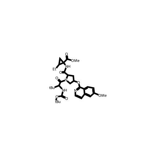 CCC1CC1(NC(=O)C1CC(Oc2nccc3cc(OC)ccc23)CN1C(=O)C(NC(=O)OC(C)(C)C)C(C)(C)C)C(=O)OC